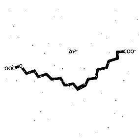 O=C([O-])CCCCCCC/C=C\CCCCCCCCOC(=O)[O-].[Zn+2]